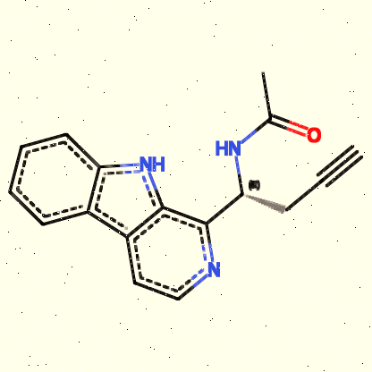 C#CC[C@@H](NC(C)=O)c1nccc2c1[nH]c1ccccc12